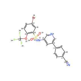 N#Cc1ccc(-c2cncc(NS(=O)(=O)c3cc(Br)ccc3OC(F)(F)F)c2)cc1